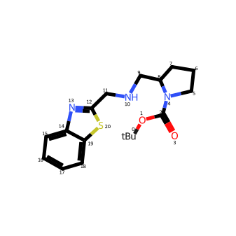 CC(C)(C)OC(=O)N1CCCC1CNCc1nc2ccccc2s1